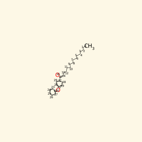 CCCCCCCCCCCCCCCC(=O)c1ccc(Oc2ccccc2)cc1